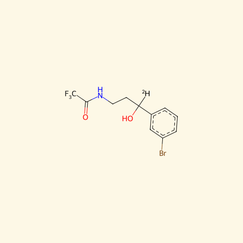 [2H]C(O)(CCNC(=O)C(F)(F)F)c1cccc(Br)c1